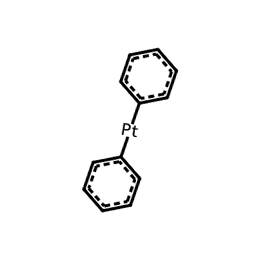 c1cc[c]([Pt][c]2ccccc2)cc1